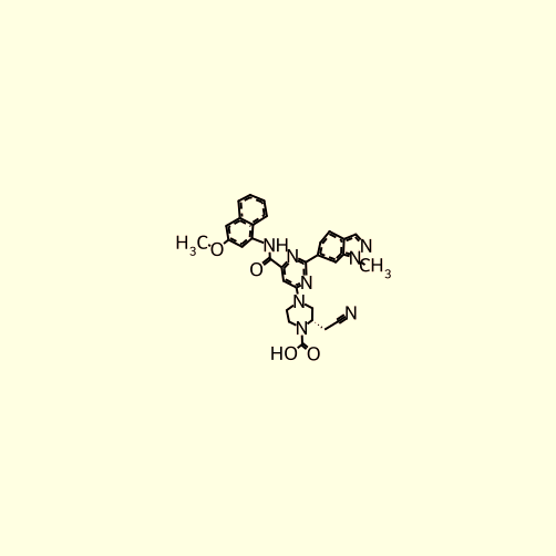 COc1cc(NC(=O)c2cc(N3CCN(C(=O)O)[C@@H](CC#N)C3)nc(-c3ccc4cnn(C)c4c3)n2)c2ccccc2c1